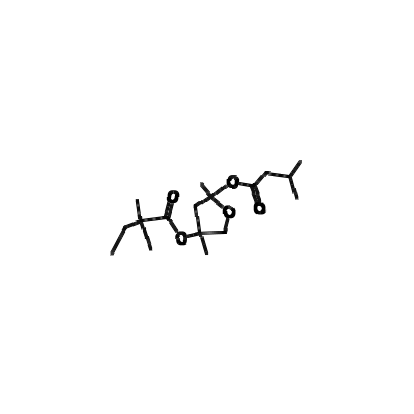 CCC(C)(C)C(=O)OC1(C)COC(C)(OC(=O)CC(C)C)C1